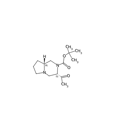 CC(=O)[C@@H]1CN2CCC[C@@H]2CN1C(=O)OC(C)(C)C